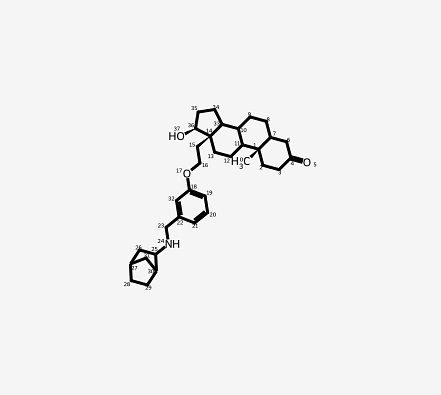 C[C@]12CCC(=O)CC1CCC1C2CC[C@@]2(CCOc3cccc(CNC4CC5CCC4C5)c3)C1CC[C@@H]2O